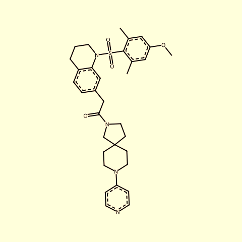 COc1cc(C)c(S(=O)(=O)N2CCCc3ccc(CC(=O)N4CCC5(CCN(c6ccncc6)CC5)C4)cc32)c(C)c1